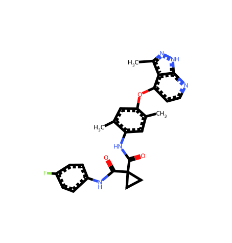 Cc1cc(Oc2ccnc3[nH]nc(C)c23)c(C)cc1NC(=O)C1(C(=O)Nc2ccc(F)cc2)CC1